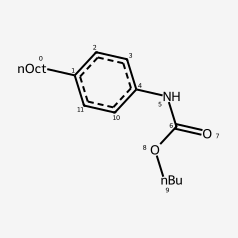 CCCCCCCCc1ccc(NC(=O)OCCCC)cc1